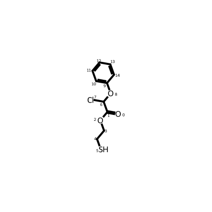 O=C(OCCS)C(Cl)Oc1ccccc1